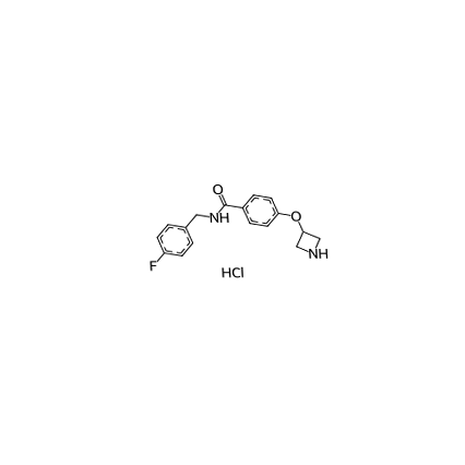 Cl.O=C(NCc1ccc(F)cc1)c1ccc(OC2CNC2)cc1